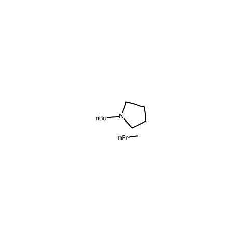 CCCC.CCCCN1CCCC1